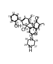 CC1=CCN(C2=C(F)C=C(c3ccccc3O)CC2(Cl)c2ccnc(N3CCNCC3)c2)C1=O